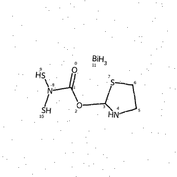 O=C(OC1NCCS1)N(S)S.[BiH3]